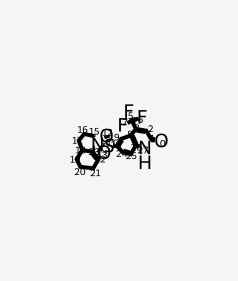 O=c1cc(C(F)(F)F)c2cc(S(=O)(=O)N3CCCC4CCCC=C43)ccc2[nH]1